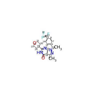 Cc1nn(C(C)c2ccc(C(F)(F)F)cc2)c2nc(C3CCOCC3)[nH]c(=O)c12